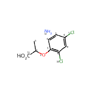 CC(Oc1ccc(Cl)cc1Cl)C(=O)O.N